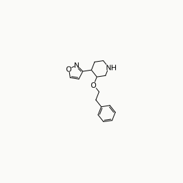 c1ccc(CCOC2CNCCC2c2ccon2)cc1